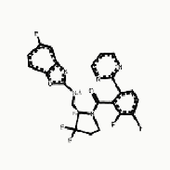 O=C(c1c(-c2ncccn2)ccc(F)c1F)N1CCC(F)(F)[C@H]1CNc1nc2cc(F)ccc2o1